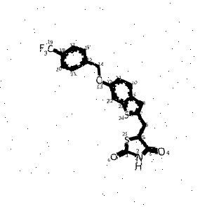 O=C1NC(=O)C(Cc2cc3ccc(OCc4ccc(C(F)(F)F)cc4)cc3s2)S1